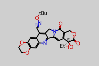 CC[C@@]1(O)C(=O)OCc2c1cc1n(c2=O)Cc2c-1nc1cc3c(cc1c2/C=N/OC(C)(C)C)OCCO3